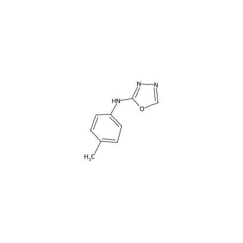 Cc1ccc(Nc2nnco2)cc1